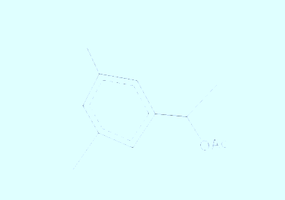 CC(=O)OC(C)c1cc(C)cc(C)c1